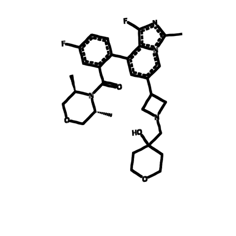 Cc1nc(F)c2c(-c3ccc(F)cc3C(=O)N3[C@H](C)COC[C@H]3C)cc(C3CN(CC4(O)CCOCC4)C3)cn12